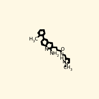 Cc1ccccc1-c1ccc2nc(N)c(CCC(=O)NCc3ccn(C)n3)cc2c1